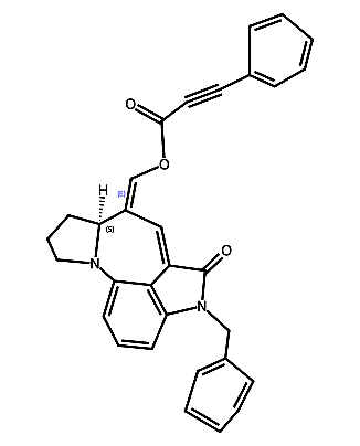 O=C(C#Cc1ccccc1)O/C=C1\C=C2C(=O)N(Cc3ccccc3)c3cccc(c32)N2CCC[C@@H]12